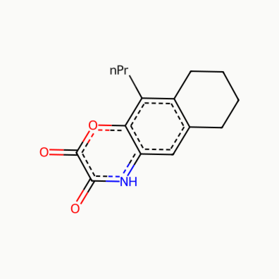 CCCc1c2c(cc3[nH]c(=O)c(=O)oc13)CCCC2